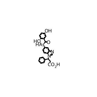 O=C(O)CC(c1ccccc1)n1cnc2cc([AsH]C(=O)c3cc(O)ccc3O)ccc21